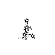 COc1c(C(=O)O)ccc2c1c(C=Cc1ccc(F)cc1)nn2C1CC1(CCOCc1ccccc1)C(N)=O